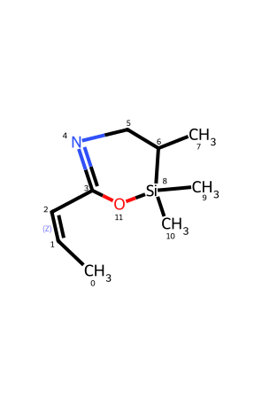 C/C=C\C1=NCC(C)[Si](C)(C)O1